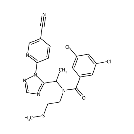 CSCCN(C(=O)c1cc(Cl)cc(Cl)c1)C(C)c1ncnn1-c1ccc(C#N)cn1